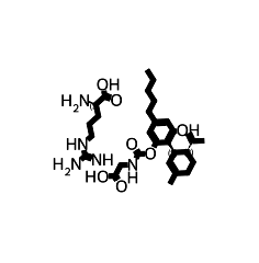 C=C(C)[C@@H]1CCC(C)=C[C@H]1c1c(O)cc(CCCCC)cc1OC(=O)NCC(=O)O.N=C(N)NCCC[C@H](N)C(=O)O